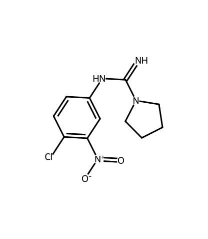 N=C(Nc1ccc(Cl)c([N+](=O)[O-])c1)N1CCCC1